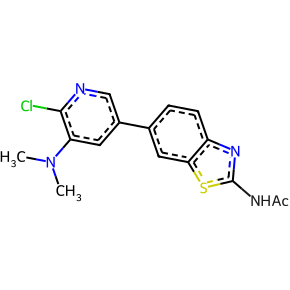 CC(=O)Nc1nc2ccc(-c3cnc(Cl)c(N(C)C)c3)cc2s1